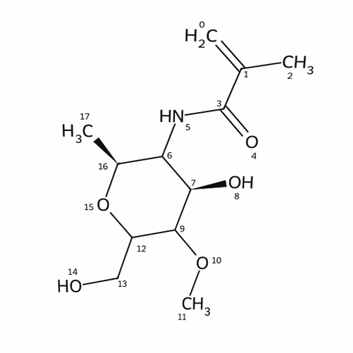 C=C(C)C(=O)NC1[C@@H](O)C(OC)C(CO)O[C@H]1C